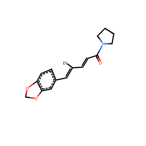 CCC(/C=C/C(=O)N1CCCC1)=C\c1ccc2c(c1)OCO2